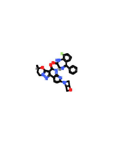 C[C@@H]1CCn2nc(-c3ccc(N4CC5OCC54)nc3)c(C(=O)N[C@H]3N=C(c4ccccc4)c4cccc(F)c4NC3=O)c2O1